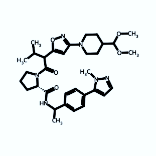 COC(OC)C1CCN(c2cc(C(C(=O)N3CCC[C@H]3C(=O)NC(C)c3ccc(-c4ccnn4C)cc3)C(C)C)on2)CC1